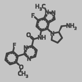 COc1cccc(F)c1-c1nccc(C(=O)Nc2cc(F)c3c(cnn3C)c2N2CCC[C@@H]2CN)n1